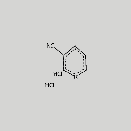 Cl.Cl.N#Cc1cccnc1